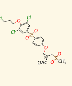 CC(=O)O[C@@H](COc1ccc(S(=O)(=O)c2cc(Cl)c(OCCCCl)c(Cl)c2)cc1)CS(C)(=O)=O